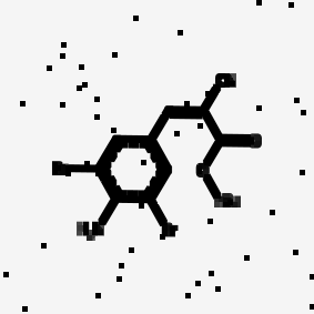 CCCCOC(=O)C(C#N)=Cc1cc(Br)c(N)c(Br)c1